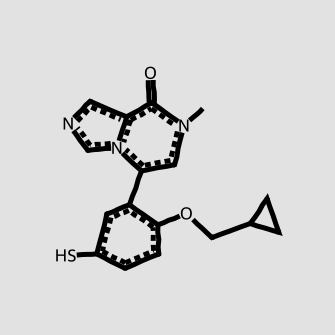 Cn1cc(-c2cc(S)ccc2OCC2CC2)n2cncc2c1=O